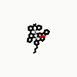 CCCCc1ccc(N2c3cc4oc5ccccc5c4cc3B3c4c(cc5ccccc5c42)-c2cccc4c2N3c2ccccc2C4(C)C)c(-c2ccccc2)c1